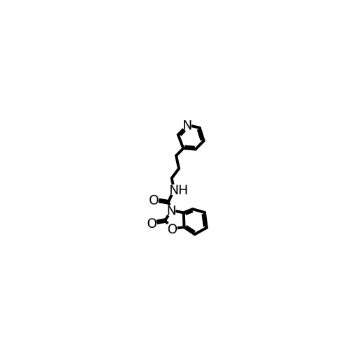 O=C(NCCCc1cccnc1)n1c(=O)oc2ccccc21